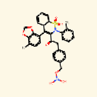 CCc1ccc(C2=C(C(=O)Cc3ccc(CON(O)O)cc3)N(c3ccccc3C(F)(F)F)S(=O)(=O)C3C=CC=CC23)c2c1OCO2